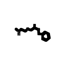 CNCCOCC(C)OCc1ccccc1